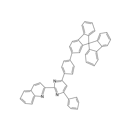 c1ccc(-c2cc(-c3ccc(-c4ccc5c(c4)C4(c6ccccc6-c6ccccc64)c4ccccc4-5)cc3)nc(-c3ccc4ccccc4n3)n2)cc1